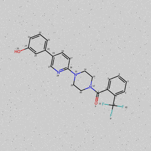 O=C(c1ccccc1C(F)(F)F)N1CCN(c2ccc(-c3cccc(O)c3)cn2)CC1